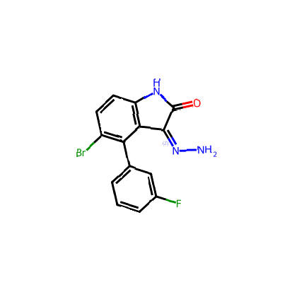 N/N=C1\C(=O)Nc2ccc(Br)c(-c3cccc(F)c3)c21